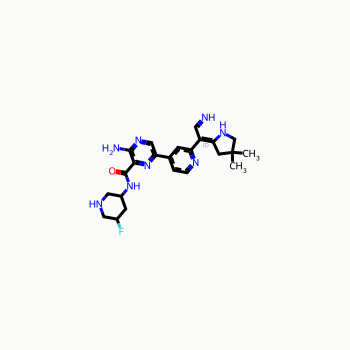 CC1(C)CN/C(=C(\C=N)c2cc(-c3cnc(N)c(C(=O)NC4CNCC(F)C4)n3)ccn2)C1